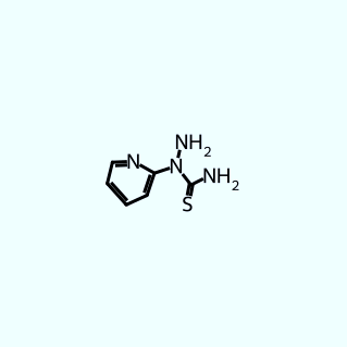 NC(=S)N(N)c1ccccn1